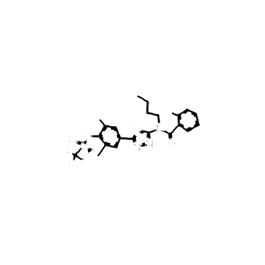 CCCCN(C(=O)c1ccccc1F)c1nnc(-c2cc(C)c(OS(=O)(=O)C(F)(F)F)c(C)c2)s1